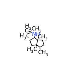 CC1CC[C@]2(C)C(NC(C)(C)C)CCC12C